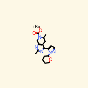 Cc1nc2c(c(-c3ccnn3C3CCCCO3)n1)CC(C)N(C(=O)OC(C)(C)C)C2